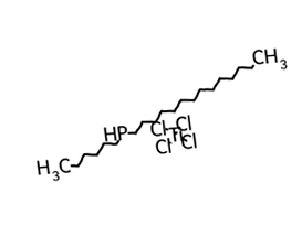 CCCCCCCCCCCCCCPCCCCCC.[Cl][Ti]([Cl])([Cl])[Cl]